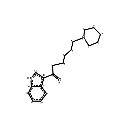 O=C(CCCCCN1CC[CH]CC1)c1csc2ccccc12